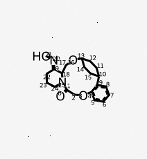 O=C1COc2ccccc2C2CCC(CC2)OCC2C(=NO)CCCN12